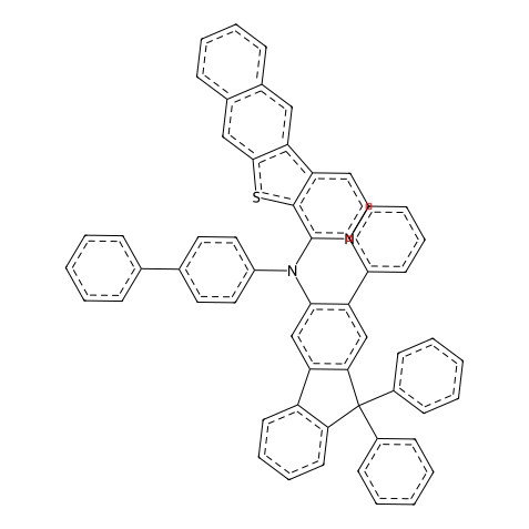 c1ccc(-c2ccc(N(c3cc4c(cc3-c3ccccc3)C(c3ccccc3)(c3ccccc3)c3ccccc3-4)c3nccc4c3sc3cc5ccccc5cc34)cc2)cc1